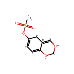 CS(=O)(=O)OC1=CC=C2OCOC=C2C1